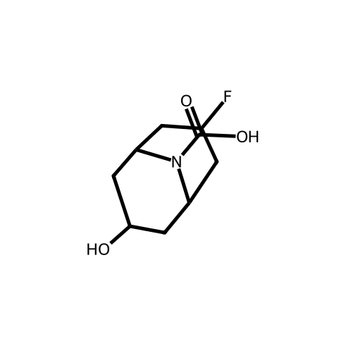 O=C(O)N1C2CC(O)CC1CC(F)C2